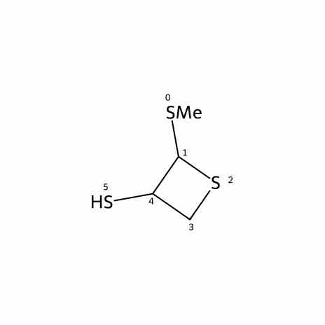 CSC1SCC1S